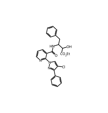 CCOC(=O)C(O)C(Cc1ccccc1)NC(=O)c1cccnc1-n1cc(Cl)c(-c2ccccc2)n1